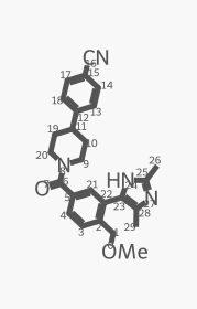 COCc1ccc(C(=O)N2CCC(c3ccc(C#N)cc3)CC2)cc1-c1[nH]c(C)nc1C